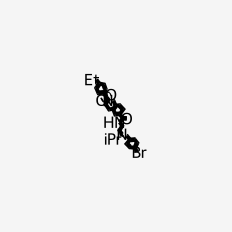 CCc1ccc(S(=O)(=O)N2CCc3cc(C(=O)NCCN(Cc4ccc(Br)cc4)C(C)C)ccc3C2)cc1